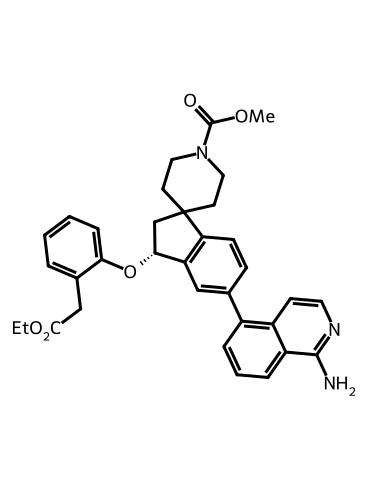 CCOC(=O)Cc1ccccc1O[C@@H]1CC2(CCN(C(=O)OC)CC2)c2ccc(-c3cccc4c(N)nccc34)cc21